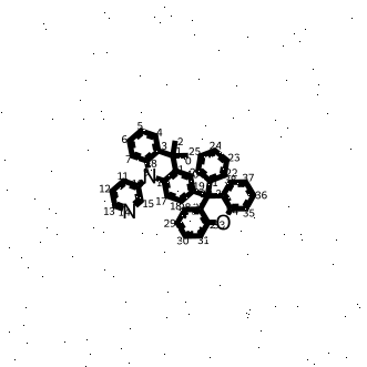 CC1(C)c2ccccc2N(c2cccnc2)c2ccc(C3(c4ccccc4)c4ccccc4Oc4ccccc43)cc21